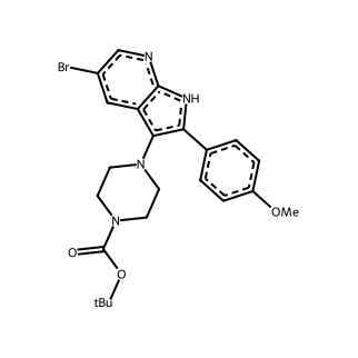 COc1ccc(-c2[nH]c3ncc(Br)cc3c2N2CCN(C(=O)OC(C)(C)C)CC2)cc1